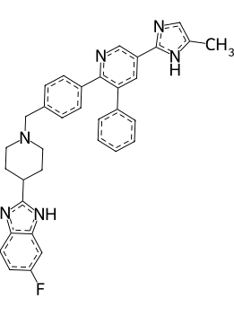 Cc1cnc(-c2cnc(-c3ccc(CN4CCC(c5nc6ccc(F)cc6[nH]5)CC4)cc3)c(-c3ccccc3)c2)[nH]1